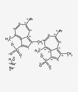 Cc1cc(S(=O)(=O)[O-])c2c(C)ccc(C(C)C)cc1-2.Cc1cc(S(=O)(=O)[O-])c2c(C)ccc(C(C)C)cc1-2.O.[Na+].[Na+]